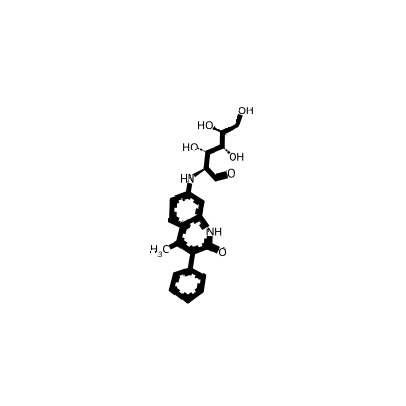 Cc1c(-c2ccccc2)c(=O)[nH]c2cc(N[C@H](C=O)[C@H](O)[C@@H](O)[C@@H](O)CO)ccc12